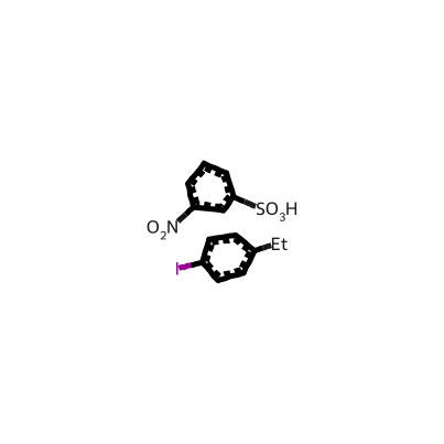 CCc1ccc(I)cc1.O=[N+]([O-])c1cccc(S(=O)(=O)O)c1